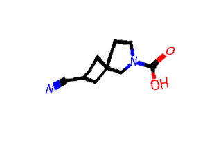 N#CC1CC2(CCN(C(=O)O)C2)C1